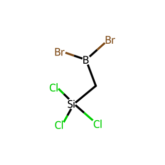 Cl[Si](Cl)(Cl)CB(Br)Br